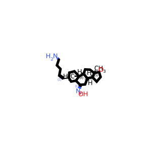 C[C@]12CC[C@H](/C=C\CCCN)CC1/C(=N/O)C[C@@H]1[C@@H]2CC[C@]2(C)C(=O)CC[C@@H]12